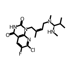 CN[C@H](C(C)C)N(C)C/C=C(/C)Cn1c(=O)[nH]c(=O)c2cc(F)c(Cl)nc21